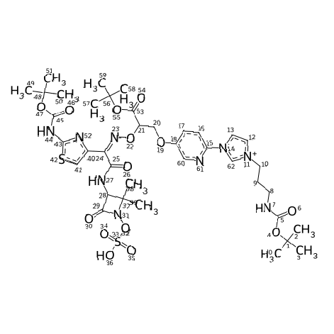 CC(C)(C)OC(=O)NCCC[n+]1ccn(-c2ccc(OCC(ON=C(C(=O)NC3C(=O)N(OS(=O)(=O)O)C3(C)C)c3csc(NC(=O)OC(C)(C)C)n3)C(=O)OC(C)(C)C)cn2)c1